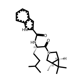 CC(C)CC[C@H](NC(=O)c1cc2ccccc2[nH]1)C(=O)N1C[C@H]2C(C)(C)[C@@]2(C)C1